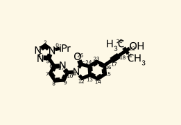 CC(C)n1cnnc1-c1cccc(N2Cc3ccc(C#CC(C)(C)O)cc3C2=O)n1